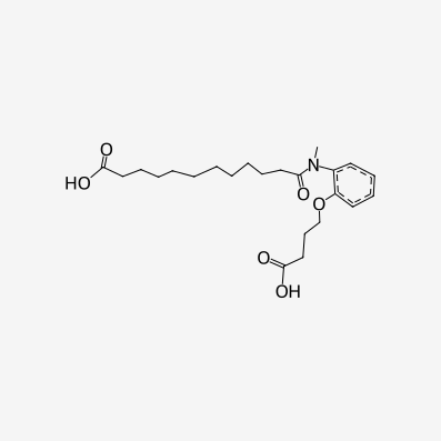 CN(C(=O)CCCCCCCCCCC(=O)O)c1ccccc1OCCCC(=O)O